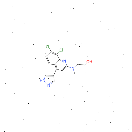 CN(CCO)c1cc(-c2cn[nH]c2)c2ccc(Cl)c(Cl)c2n1